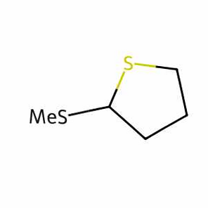 CSC1CCCS1